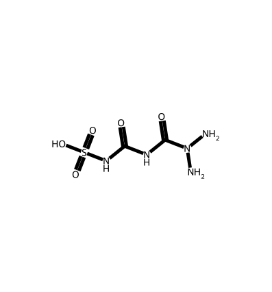 NN(N)C(=O)NC(=O)NS(=O)(=O)O